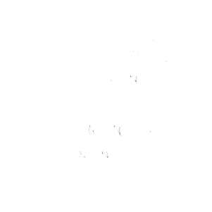 c1ccc(-c2nc(-c3ccccc3)nc(-n3c4ccccc4c4cc5c(cc43)c3ccccc3n5-c3cccc4c3sc3ccccc34)n2)cc1